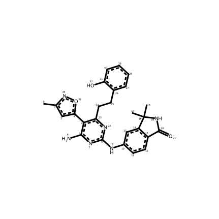 Cc1cc(-c2c(N)nc(Nc3ccc4c(c3)C(C)(C)NC4=O)nc2CCc2ccccc2O)on1